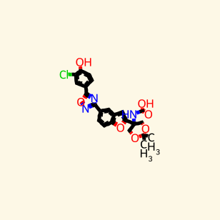 CC1(C)OCC(NC(=O)O)(c2cc3cc(-c4noc(-c5ccc(O)c(Cl)c5)n4)ccc3o2)CO1